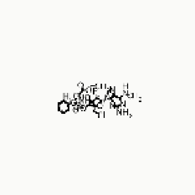 CCOC(=O)[C@H](C)N[P@@](=O)(Oc1ccccc1)OC1[C@@]2(CCl)O[C@@H](n3cnc4c(NC)nc(N)nc43)[C@@H](F)[C@@]12O